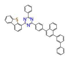 c1ccc(-c2cccc(-c3ccc(-c4ccc(-c5nc(-c6ccccc6)nc(-c6cccc7c6sc6ccccc67)n5)cc4)c4ccccc34)c2)cc1